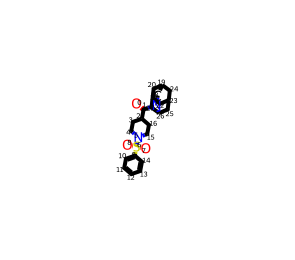 O=C(C1CCN(S(=O)(=O)c2ccccc2)CC1)N1CC2CC3CC(C2)CC1C3